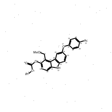 COCc1c(OC(=O)OC(C)C)ncc2[nH]c3ccc(Oc4ccc(C(C)=O)cc4)cc3c12